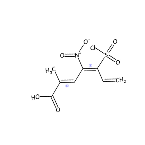 C=C/C(=C(\C=C(/C)C(=O)O)[N+](=O)[O-])S(=O)(=O)Cl